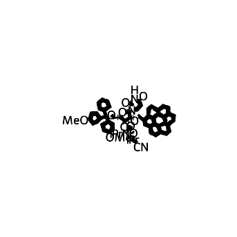 COc1ccc(C(OC[C@H]2O[C@@H](n3ccc(=O)[nH]c3=O)[C@H](OCc3cc4ccc5ccc6ccc7ccc8ccc3c3c8c7c6c5c43)[C@@H]2OP(=O)(OCCC#N)N(C(C)C)C(C)C)(c2ccccc2)c2ccc(OC)cc2)cc1